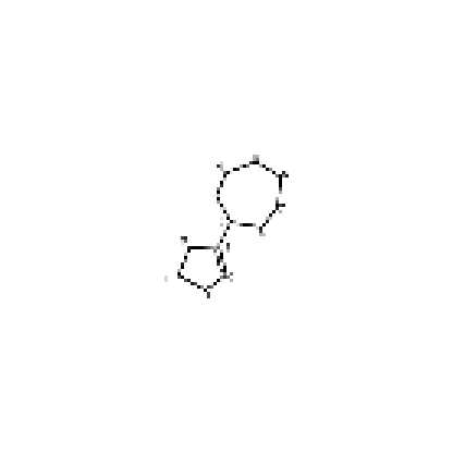 [C]1=C(C2CCCCCC2)CCC1